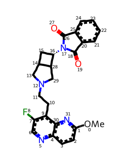 COc1ccc2ncc(F)c(CCN3CC4C[C@H](N5C(=O)c6ccccc6C5=O)C4C3)c2n1